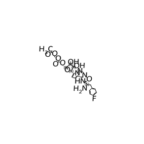 CC(=O)OCOC(=O)OC[C@H]1O[C@@H](c2ccc3c(NC(=O)[C@@H](N)Cc4ccc(F)cc4)ncnn23)[C@H](O)[C@@H]1O